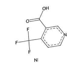 O=C(O)c1cnccc1C(F)(F)F.[N]